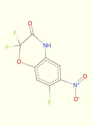 O=C1Nc2cc([N+](=O)[O-])c(F)cc2OC1(F)F